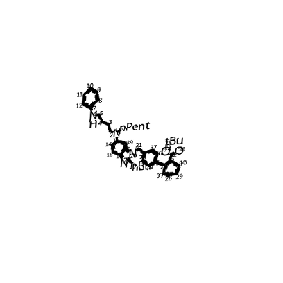 CCCCCN(CCCCNc1ccccc1)c1ccc2nc(CCCC)n(Cc3ccc(-c4ccccc4C(=O)OC(C)(C)C)cc3)c2c1